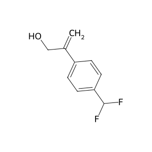 C=C(CO)c1ccc(C(F)F)cc1